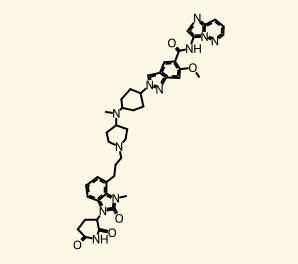 COc1cc2nn(C3CCC(N(C)C4CCN(CCCc5cccc6c5n(C)c(=O)n6C5CCC(=O)NC5=O)CC4)CC3)cc2cc1C(=O)Nc1cnc2cccnn12